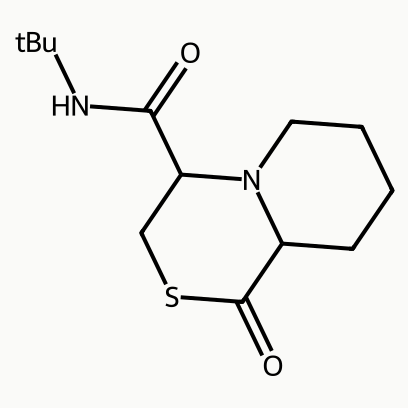 CC(C)(C)NC(=O)C1CSC(=O)C2CCCCN12